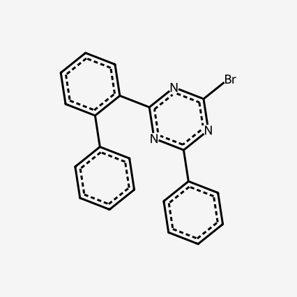 Brc1nc(-c2ccccc2)nc(-c2ccccc2-c2ccccc2)n1